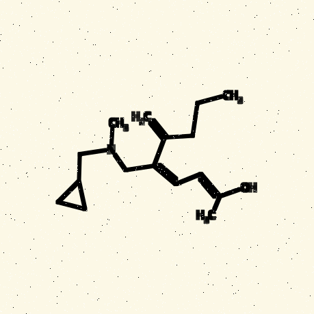 C=C(CCC)/C(=C\C=C(/C)O)CN(C)CC1CC1